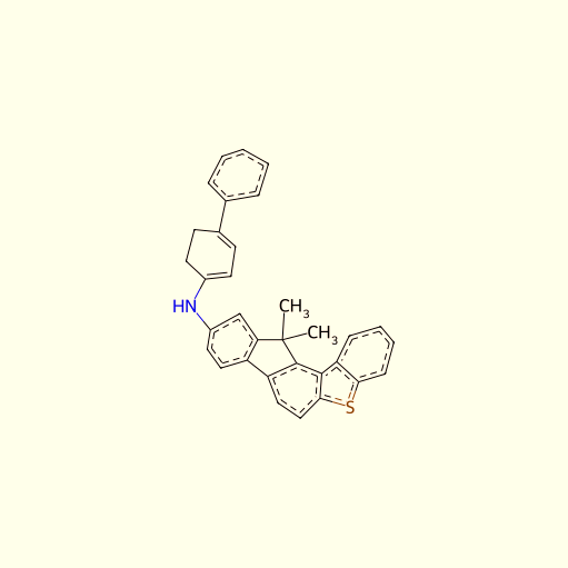 CC1(C)c2cc(NC3=CC=C(c4ccccc4)CC3)ccc2-c2ccc3sc4ccccc4c3c21